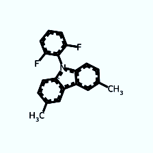 Cc1ccc2c(c1)c1cc(C)ccc1n2-c1c(F)cccc1F